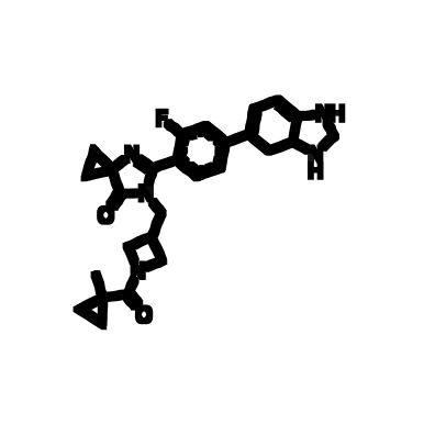 CC1(C(=O)N2CC(CN3C(=O)C4(CC4)N=C3c3ccc(C4=CC=C5NCNC5C4)cc3F)C2)CC1